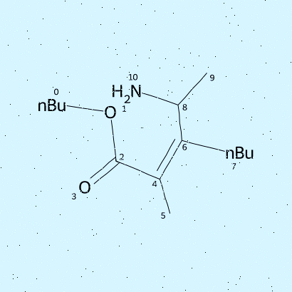 CCCCOC(=O)C(C)=C(CCCC)C(C)N